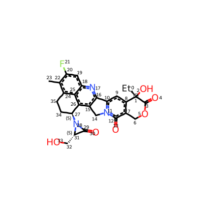 CC[C@@]1(O)C(=O)OCc2c1cc1n(c2=O)Cc2c-1nc1cc(F)c(C)c3c1c2[C@@H](N1C(=O)[C@@H]1CO)CC3